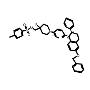 C=C(/C=C\C(=C/C)N1CCC(F)(COS(=O)(=O)c2ccc(C)cc2)CC1)[C@@H]1c2ccc(OCc3ccccc3)cc2CC[C@@H]1c1ccccc1